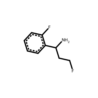 NC(CCF)c1ccccc1F